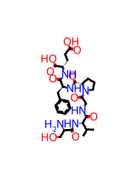 CC(C)[C@H](NC(=O)[C@@H](N)CO)C(=O)NCC(=O)N1CCC[C@H]1C(=O)N[C@@H](Cc1ccccc1)C(=O)N[C@@H](CCC(=O)O)C(=O)O